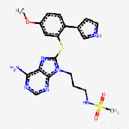 COc1ccc(-c2cc[nH]c2)c(Sc2nc3c(N)ncnc3n2CCCNS(C)(=O)=O)c1